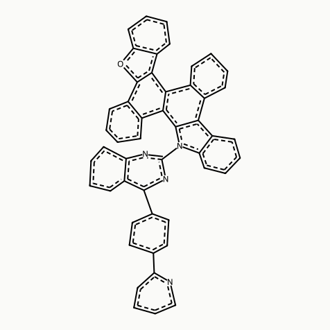 c1ccc(-c2ccc(-c3nc(-n4c5ccccc5c5c6ccccc6c6c7c8ccccc8oc7c7ccccc7c6c54)nc4ccccc34)cc2)nc1